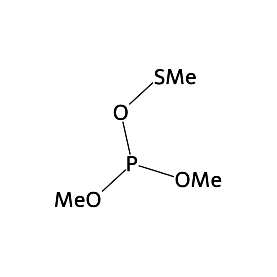 COP(OC)OSC